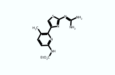 CCOC(=O)Nc1ccc(C)c(-c2csc(N=C(N)N)n2)n1